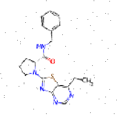 CCc1ncnc2nc(N3CCC[C@@H]3C(=O)NCc3ccccc3)sc12